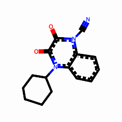 N#Cn1c(=O)c(=O)n(C2CCCCC2)c2ccccc21